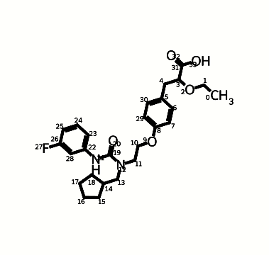 CCOC(Cc1ccc(OCCN(CC2CCCC2)C(=O)Nc2cccc(F)c2)cc1)C(=O)O